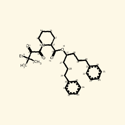 CCC(C)(C)C(=O)C(=O)N1CCCCC1C(=O)OC(CCCc1ccccc1)CCCc1ccccc1